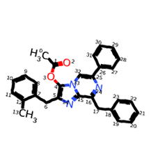 CC(=O)Oc1c(Cc2ccccc2C)nc2c(Cc3ccccc3)nc(-c3ccccc3)cn12